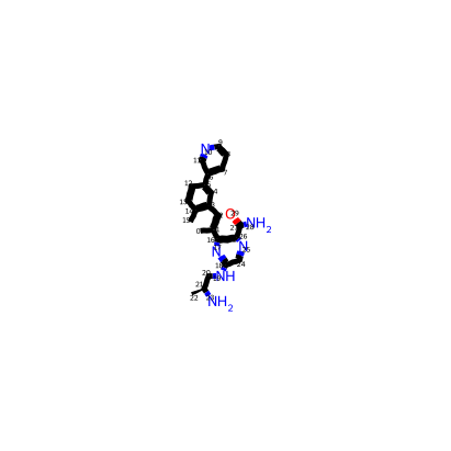 C/C(=C\c1cc(-c2cccnc2)ccc1C)c1nc(NC[C@H](C)N)cnc1C(N)=O